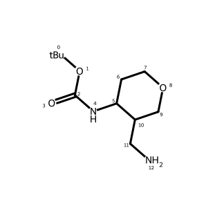 CC(C)(C)OC(=O)NC1CCOCC1CN